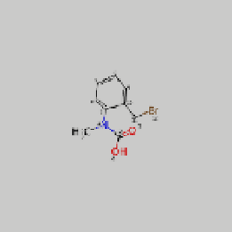 CN(C(=O)O)c1ccccc1CBr